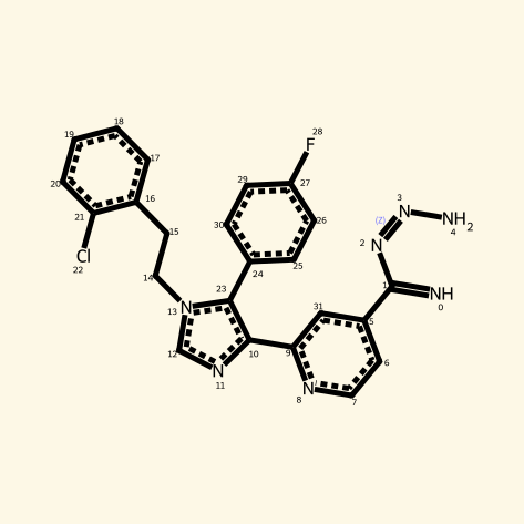 N=C(/N=N\N)c1ccnc(-c2ncn(CCc3ccccc3Cl)c2-c2ccc(F)cc2)c1